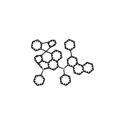 c1ccc(-c2cc(N(c3ccccc3)c3cc4c5c6c(cccc36)C3(c6ccccc6-c6ccccc63)c3cccc(c35)n4-c3ccccc3)c3ccc4ccccc4c3c2)cc1